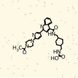 CC(=O)N1CCN(c2ccc(-c3cc(C(=O)NCC4CCC(CNC(=O)O)CC4)c4ccccc4n3)cn2)CC1